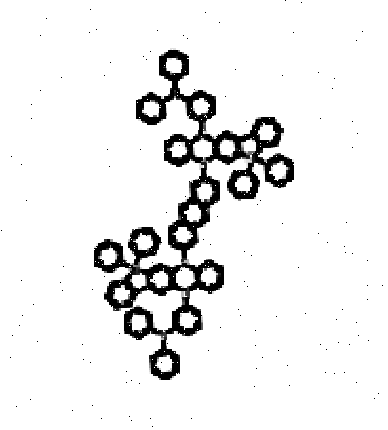 c1ccc(N(c2ccccc2)c2cccc(N3c4ccccc4N(c4ccc5cc6cc(N7c8ccccc8N(c8cccc(N(c9ccccc9)c9ccccc9)c8)c8cc9c(cc87)[Si](c7ccccc7)(c7ccccc7)c7ccccc7-9)ccc6cc5c4)c4cc5c(cc43)-c3ccccc3[Si]5(c3ccccc3)c3ccccc3)c2)cc1